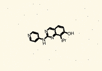 CC(C)c1c(O)ccc2cnc(Nc3ccncc3)nc12